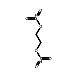 O=[SH](=O)OCCO[SH](=O)=O